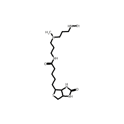 CCNCCCN(C)CCCNC(=O)CCCCC1SCC2NC(=O)NC21